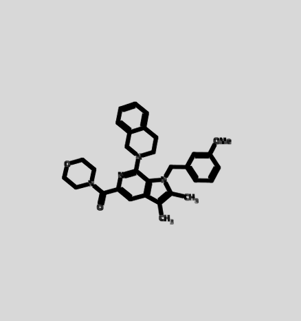 COc1cccc(Cn2c(C)c(C)c3cc(C(=O)N4CCOCC4)nc(N4CCc5ccccc5C4)c32)c1